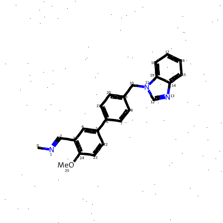 C/N=C/c1cc(-c2ccc(Cn3cnc4ccccc43)cc2)ccc1OC